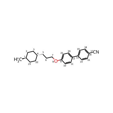 C[C@H]1CC[C@H](CCCOc2ccc(-c3ccc(C#N)cc3)cc2)CC1